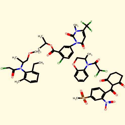 CC(C)OC(=O)c1cc(-n2c(=O)cc(C(F)(F)F)n(C)c2=O)ccc1Cl.CC1COc2ccccc2N1C(=O)C(Cl)Cl.CCc1cccc(C)c1N(C(=O)CCl)C(C)COC.CS(=O)(=O)c1ccc(C(=O)C2C(=O)CCCC2=O)c([N+](=O)[O-])c1